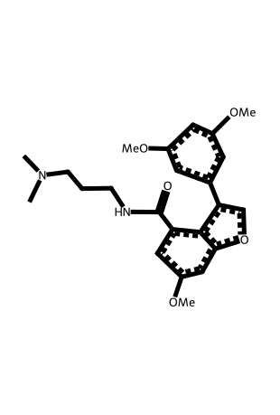 COc1cc(OC)cc(-c2coc3cc(OC)cc(C(=O)NCCCN(C)C)c23)c1